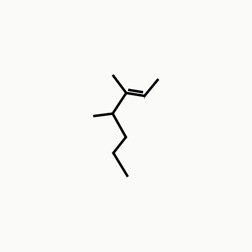 C/[C]=C(\C)C(C)CCC